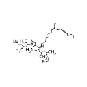 C=C(CC(=C)S/C=C\CC)N/C(=N/CC/C=C/CC/C=C(/F)CCC#CC)c1cnn(C(C)CC(C)CCC(C)CC)c1N